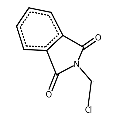 O=C1c2ccccc2C(=O)N1[CH]Cl